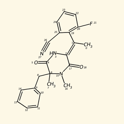 CC(=C1NC(=O)C(C)(Cc2ccccc2)N(C)C1=O)c1c(F)cccc1C#N